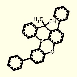 CC1(C)c2ccccc2B2c3cc(-c4ccccc4)ccc3Oc3ccc(-c4ccccc4)c1c32